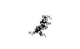 CON=C(C(=O)N[C@@H]1C(=O)N2C(C(=O)O)=C(COC(C)=O)CS[C@H]12)c1nc(N)sc1Br